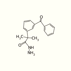 CC(C)(C(=O)NN)c1cccc(C(=O)c2ccccc2)c1